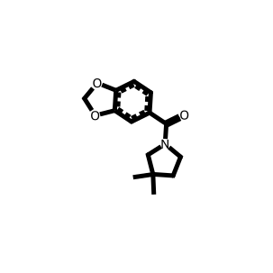 CC1(C)CCN(C(=O)c2ccc3c(c2)OCO3)C1